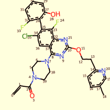 C=CC(=O)N1CCN(c2nc(OCCc3ccc(C)cn3)nc3c(F)c(-c4c(O)cccc4F)c(Cl)cc23)CC1